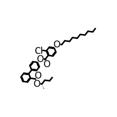 CCCCCCCCCCOc1ccc(C(=O)Oc2ccc(-c3ccccc3C(=O)O[C@@H](C)CCC)cc2)c(Cl)c1